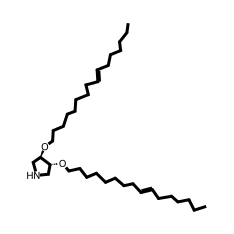 CCCCCCC=CCCCCCCCCO[C@@H]1CNC[C@H]1OCCCCCCCCC=CCCCCCC